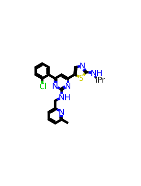 Cc1cccc(CNc2nc(-c3cnc(NC(C)C)s3)cc(-c3ccccc3Cl)n2)n1